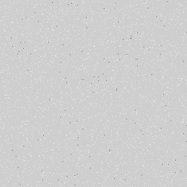 O.O.O.[Mo].[Y].[Y]